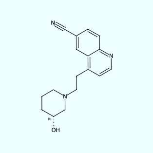 N#Cc1ccc2nccc(CCN3CC[CH][C@@H](O)C3)c2c1